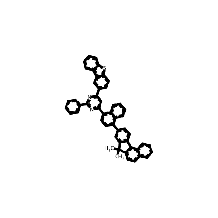 CC1(C)c2cc(-c3ccc(-c4cc(-c5ccc6sc7ccccc7c6c5)nc(-c5ccccc5)n4)c4ccccc34)ccc2-c2c1ccc1ccccc21